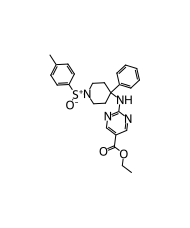 CCOC(=O)c1cnc(NC2(c3ccccc3)CCN([S+]([O-])c3ccc(C)cc3)CC2)nc1